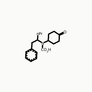 CCCC(Cc1ccccc1)N(C(=O)O)C1CCC(=O)CC1